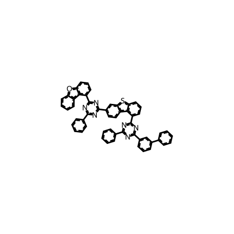 c1ccc(-c2cccc(-c3nc(-c4ccccc4)nc(-c4cccc5sc6cc(-c7nc(-c8ccccc8)nc(-c8cccc9oc%10ccccc%10c89)n7)ccc6c45)n3)c2)cc1